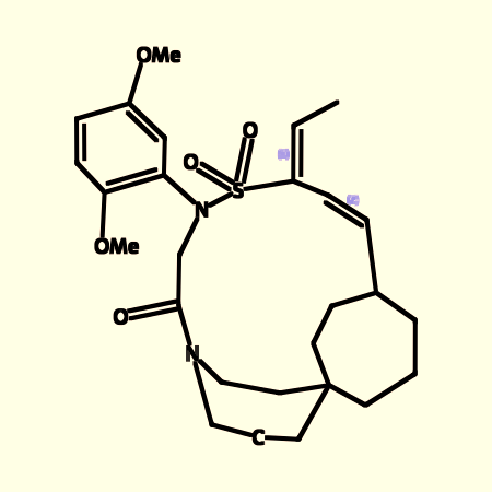 C/C=C1\C=C/C2CCCC3(CCCN(CC3)C(=O)CN(c3cc(OC)ccc3OC)S1(=O)=O)CC2